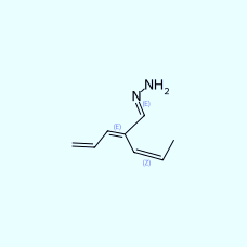 C=C/C=C(\C=C/C)/C=N/N